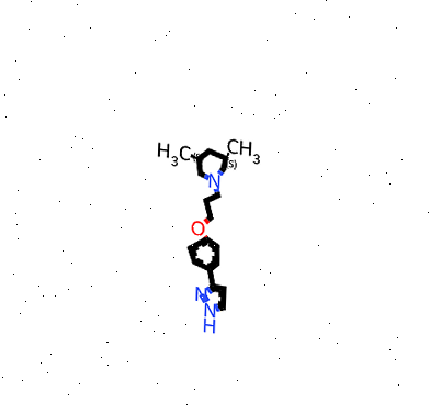 C[C@H]1C[C@H](C)CN(CCCOc2ccc(-c3cc[nH]n3)cc2)C1